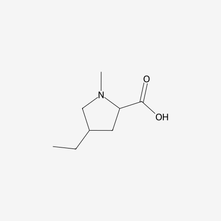 CCC1CC(C(=O)O)N(C)C1